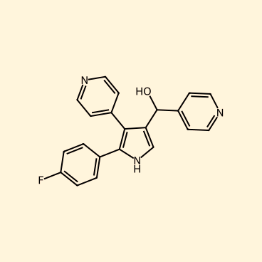 OC(c1ccncc1)c1c[nH]c(-c2ccc(F)cc2)c1-c1ccncc1